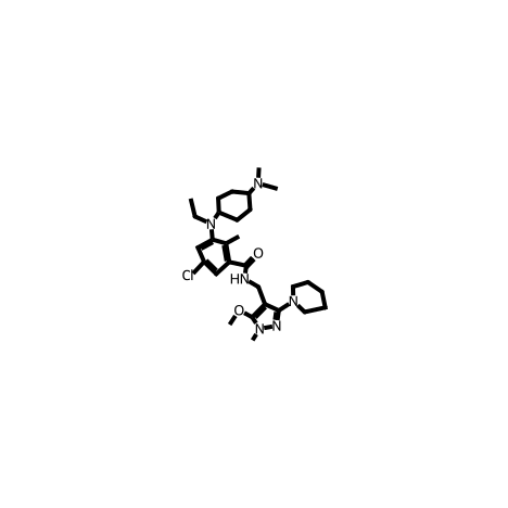 CCN(c1cc(Cl)cc(C(=O)NCc2c(N3CCCCC3)nn(C)c2OC)c1C)C1CCC(N(C)C)CC1